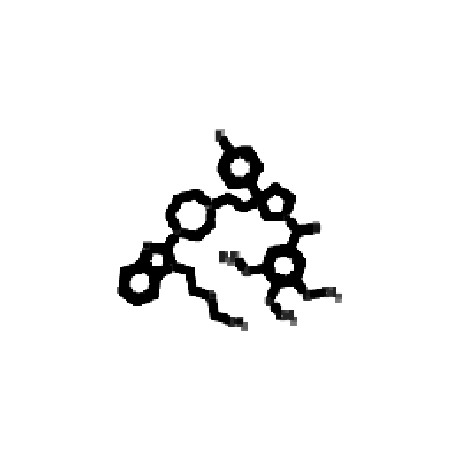 CCOCCn1c(N2CCCN(CCC3(c4ccc(F)cc4)CCN(C(=O)c4cc(OC)c(OC)c(OC)c4)C3)CC2)nc2ccccc21